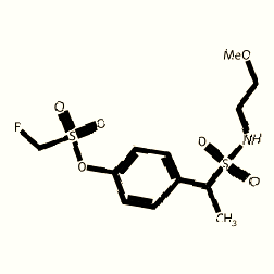 COCCNS(=O)(=O)C(C)c1ccc(OS(=O)(=O)CF)cc1